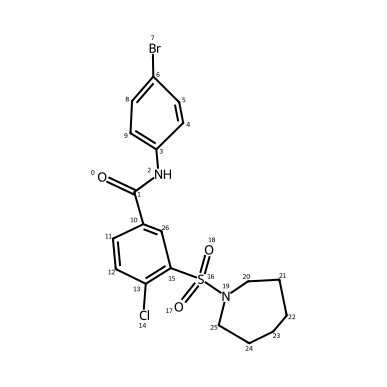 O=C(Nc1ccc(Br)cc1)c1ccc(Cl)c(S(=O)(=O)N2CCCCCC2)c1